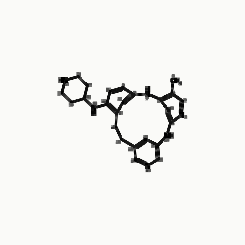 Cc1cnc2nc1Nc1ccc(NC3CCNCC3)c(c1)CCc1cncc(c1)N2